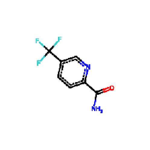 NC(=O)c1ccc(C(F)(F)F)cn1